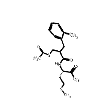 CSCC[C@H](NC(=O)C(CSC(C)=O)Cc1ccccc1C)C(=O)O